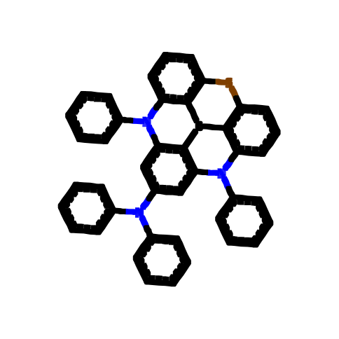 c1ccc(N(c2ccccc2)c2cc3c4c(c2)N(c2ccccc2)c2cccc5c2B4c2c(cccc2N3c2ccccc2)S5)cc1